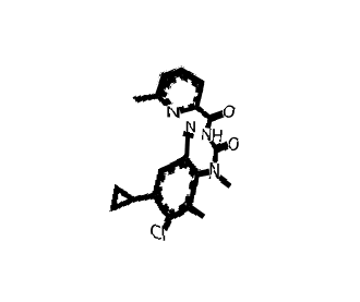 Cc1cccc(C(=O)NC(=O)N(C)c2c(C#N)cc(C3CC3)c(Cl)c2C)n1